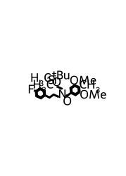 COc1cc(C(=O)N(CCCc2ccc(F)cc2)CCO[Si](C)(C)C(C)(C)C)cc(OC)c1C